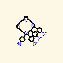 CN(C)c1ccc(C2=CC3=CC4=NC(=CC5=NC(=CC6=NC(=C(c7ccc(N(C)C)cc7)C2=N3)C(c2ccc(N(C)C)cc2)=C6c2ccc(N(C)C)cc2)C=C5)C=C4)cc1